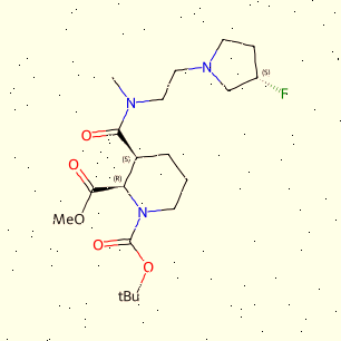 COC(=O)[C@H]1[C@@H](C(=O)N(C)CCN2CC[C@H](F)C2)CCCN1C(=O)OC(C)(C)C